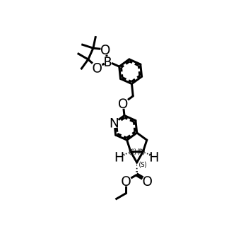 CCOC(=O)[C@H]1[C@@H]2Cc3cc(OCc4cccc(B5OC(C)(C)C(C)(C)O5)c4)ncc3[C@@H]21